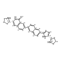 O=c1[nH]c([C@@H]2CCCN2)nc2ccc(-c3ccc4cc(-c5cnc([C@@H]6CCCN6)[nH]5)ccc4c3)cc12